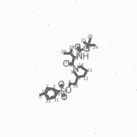 Cc1ccc(S(=O)(=O)OCCC2CCCN(C(=O)[C@@H](NC(=O)OC(C)(C)C)C(C)C)C2)cc1